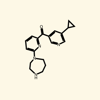 O=C(c1cncc(C2CC2)c1)c1cccc(N2CCCNCC2)n1